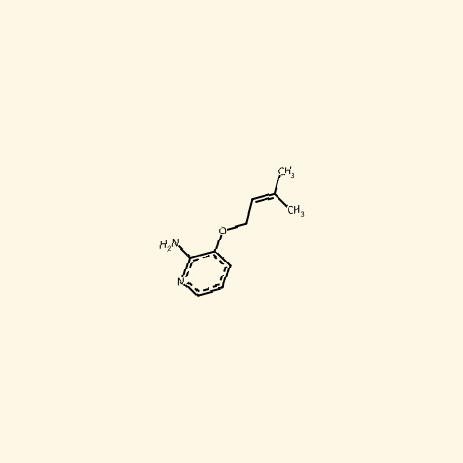 CC(C)=CCOc1cccnc1N